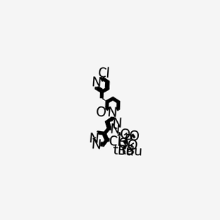 Cc1cnncc1-c1cc(N2CCC[C@@H](Cc3ccc(Cl)nc3)C2=O)nn1COP(=O)(OC(C)(C)C)OC(C)(C)C